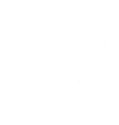 O=C(OCCl)c1ccc2occc2c1